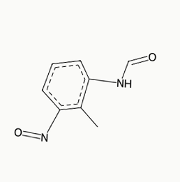 Cc1c(N=O)cccc1NC=O